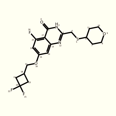 O=c1[nH]c(CSC2CCOCC2)nc2cc(OCC3CC(F)(F)C3)cc(F)c12